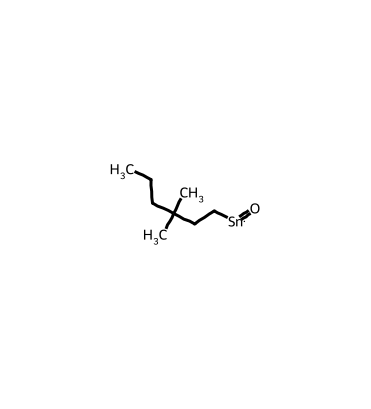 CCCC(C)(C)C[CH2][Sn]=[O]